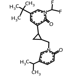 CC(C)c1ccc(=O)n(CC2CC2c2cc(C(C)(C)C)cn(C(F)F)c2=O)c1